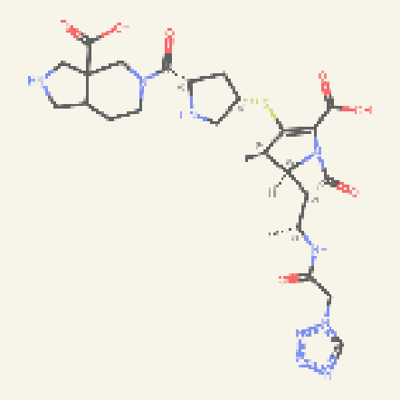 C[C@@H](NC(=O)Cn1cnnn1)[C@H]1C(=O)N2C(C(=O)O)=C(S[C@@H]3CN[C@H](C(=O)N4CCC5CNCC5(C(=O)O)C4)C3)[C@H](C)[C@H]12